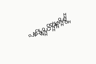 Cn1c(-c2cn(CC3CCC3)nc2C(F)(F)F)cnc1C(=O)Nc1ccc(C(=O)N[C@H]2[C@@H]3CN(C(=O)N[C@@H]4CNC[C@H]4O)C[C@@H]32)c(Cl)c1